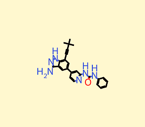 CC(C)(C)C#Cc1cc(-c2ccnc(NC(=O)Nc3ccccc3)c2)cc2c(N)n[nH]c12